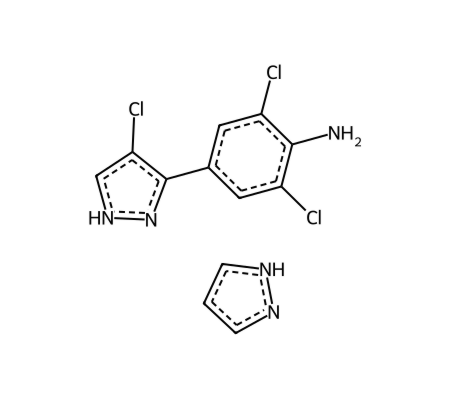 Nc1c(Cl)cc(-c2n[nH]cc2Cl)cc1Cl.c1cn[nH]c1